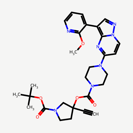 C#CC1(OC(=O)N2CCN(c3ccn4ncc(-c5cccnc5OC)c4n3)CC2)CCN(C(=O)OC(C)(C)C)C1